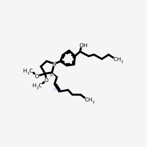 CCCC/C=C\C[C@@H]1N(c2ccc(C(O)CCCCC)cc2)CCC1(OC)OC